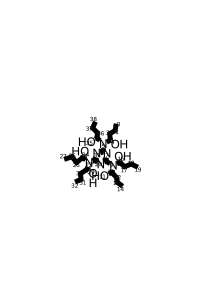 CCCC(O)N(c1nc(N(C(O)CCC)C(O)CCC)nc(N(C(O)CCC)C(O)CCC)n1)C(O)CCC